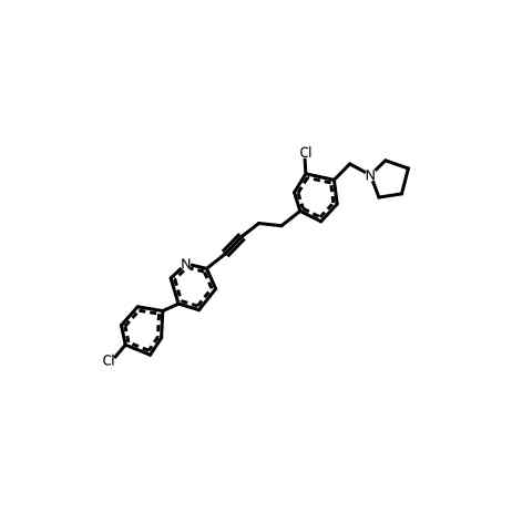 Clc1ccc(-c2ccc(C#CCCc3ccc(CN4CCCC4)c(Cl)c3)nc2)cc1